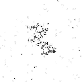 Cc1cc2c(cc1C(=O)Nc1ccnc3[nH]ccc13)S(=O)(=O)CCC2N